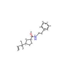 C=CC(C)(C)C1CCC(C(=O)NCCc2ccccc2)C1